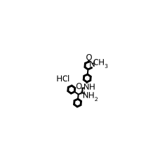 Cl.Cn1cc(-c2ccc(NC(=O)[C@@H](N)C(c3ccccc3)c3ccccc3)cc2)ccc1=O